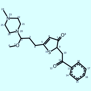 COC(CCC1=CC(=O)C(CC(=O)c2ccccc2)S1)N1CCN(C)CC1